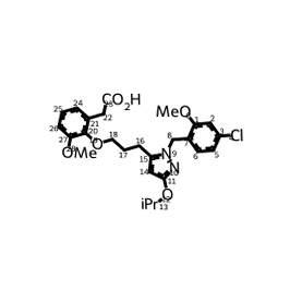 COc1cc(Cl)ccc1Cn1nc(OC(C)C)cc1CCCOc1c(CC(=O)O)cccc1OC